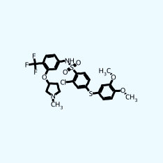 COc1ccc(Sc2ccc(S(=O)(=O)Nc3ccc(C(F)(F)F)c(OC4CCN(C)C4)c3)c(Cl)c2)cc1OC